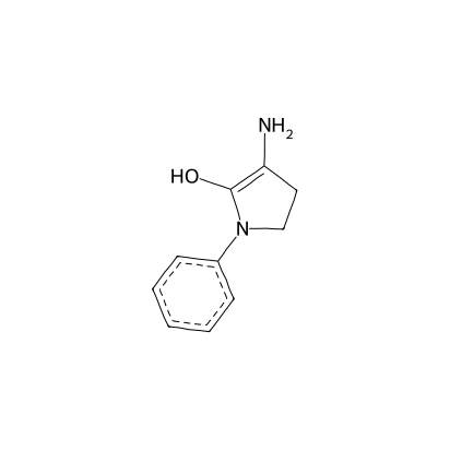 NC1=C(O)N(c2ccccc2)CC1